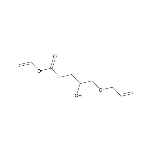 C=CCOCC(O)CCC(=O)OC=C